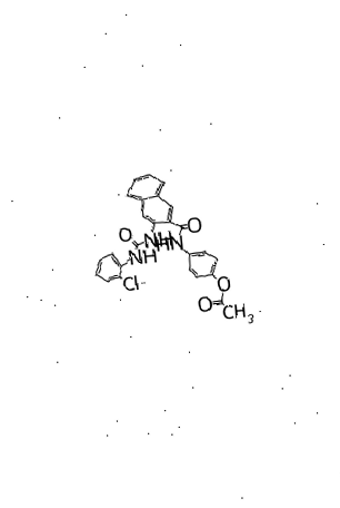 CC(=O)Oc1ccc(NC(=O)c2cc3ccccc3cc2NC(=O)Nc2ccccc2Cl)cc1